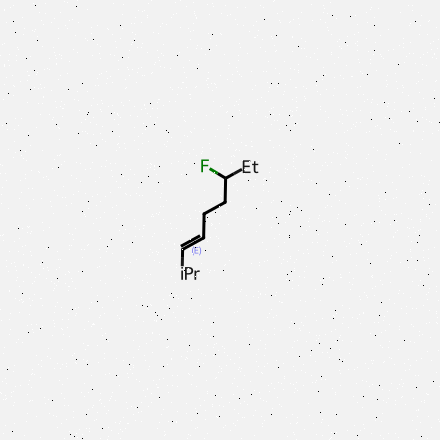 CCC(F)CC/C=C/C(C)C